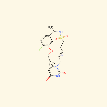 CC(NS(=O)(=O)CC/C=C/Cn1ccc(=O)[nH]c1=O)c1ccc(F)c(OCC2CC2)c1